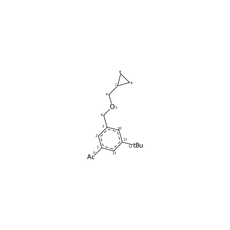 CC(=O)c1cc(COCC2CC2)cc(C(C)(C)C)c1